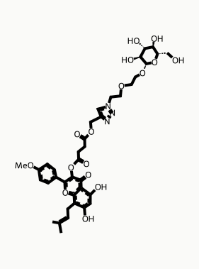 COc1ccc(-c2oc3c(CC=C(C)C)c(O)cc(O)c3c(=O)c2OC(=O)CCC(=O)OCc2cn(CCOCCO[C@H]3O[C@@H](CO)[C@H](O)[C@@H](O)[C@@H]3O)nn2)cc1